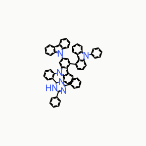 c1ccc(C2=NC(c3ccccc3-n3c4ccccc4c4c(-c5cccc6c5c5ccccc5n6-c5ccccc5)cc(-n5c6ccccc6c6ccccc65)cc43)NC(c3ccccc3)=N2)cc1